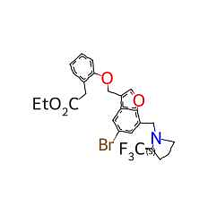 CCOC(=O)Cc1ccccc1OCc1coc2c(CN3CCC[C@H]3C(F)(F)F)cc(Br)cc12